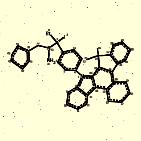 CCC(I)(c1ccc(-n2c3ccccc3c3c4ccccc4c4c(c32)C(C)(C)c2ccccc2-4)cc1)N(N)Cc1ccccc1